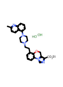 CCOC(=O)c1ncn2c1COc1c(CCN3CCN(c4cccc5nc(C)ccc45)CC3)cccc1-2.Cl.Cl